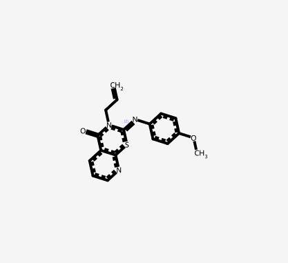 C=CCn1c(=O)c2cccnc2s/c1=N\c1ccc(OC)cc1